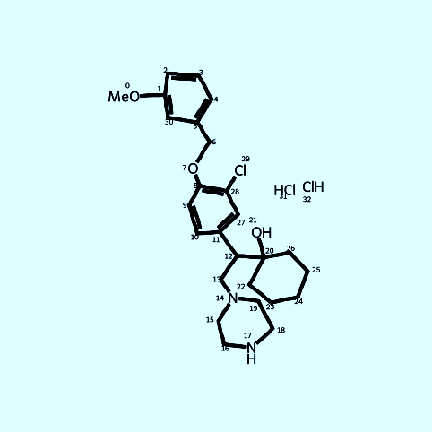 COc1cccc(COc2ccc(C(CN3CCNCC3)C3(O)CCCCC3)cc2Cl)c1.Cl.Cl